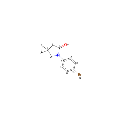 O=C1CC2(CC2)CN1c1ccc(Br)cc1